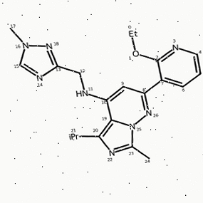 CCOc1ncccc1-c1cc(NCc2ncn(C)n2)c2c(C(C)C)nc(C)n2n1